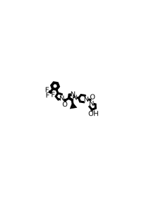 O=C(c1cnn(C2CCN(C(=O)N3CC[C@H](O)C3)CC2)c1C1CC1)N1CCC(c2ccccc2C(F)(F)F)C1